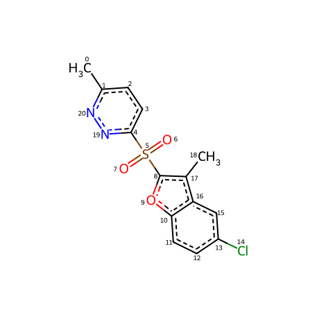 Cc1ccc(S(=O)(=O)c2oc3ccc(Cl)cc3c2C)nn1